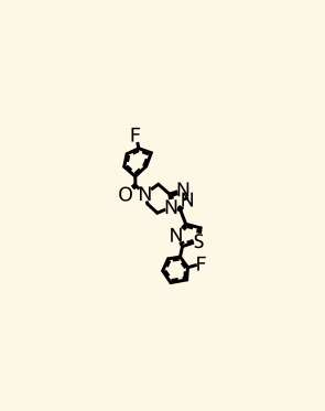 O=C(c1ccc(F)cc1)N1CCn2c(nnc2-c2csc(-c3ccccc3F)n2)C1